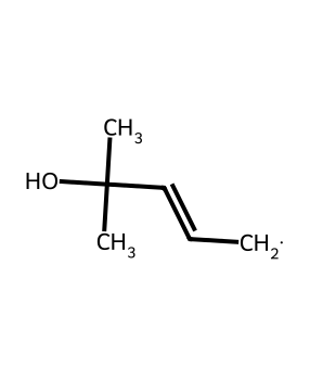 [CH2]C=CC(C)(C)O